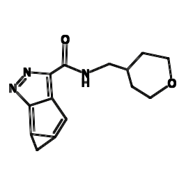 O=C(NCC1CCOCC1)C1=C2C=C3CC3=C2N=N1